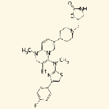 CCC1=C(N(C)c2nc(-c3ccc(F)cc3)cs2)N2C=C(C3CCN(C[C@H]4CNC(=O)O4)CC3)C=CC2N(C)C1